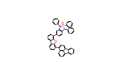 O=P1(c2ccccc2)N(c2ccccc2)c2ccc(-c3cccc4c3oc3c(-c5ccc6c7c(cccc57)-c5ccccc5-6)cccc34)cc2N1c1ccccc1